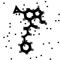 Cc1noc2nc(C3CC3)cc(C(=O)NOCc3ccccc3)c12